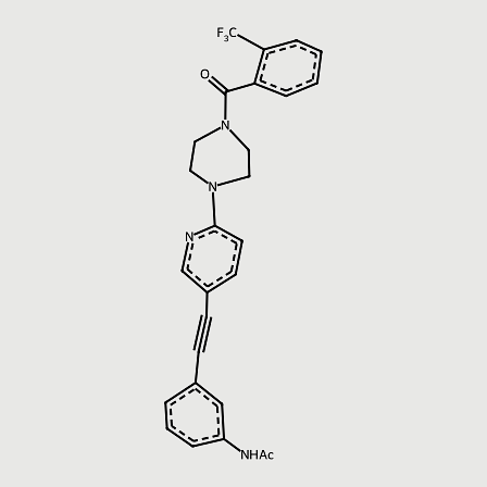 CC(=O)Nc1cccc(C#Cc2ccc(N3CCN(C(=O)c4ccccc4C(F)(F)F)CC3)nc2)c1